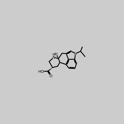 CC(C)n1cc2c3c(cccc31)C1C[C@@H](C(=O)O)CN[C@@H]1C2